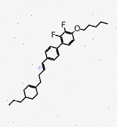 CCCCCOc1ccc(-c2ccc(/C=C/CCC3=CCC(CCC)CC3)cc2)c(F)c1F